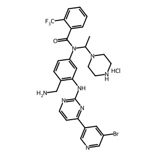 CC(N1CCNCC1)N(C(=O)c1ccccc1C(F)(F)F)c1ccc(CN)c(Nc2nccc(-c3cncc(Br)c3)n2)c1.Cl